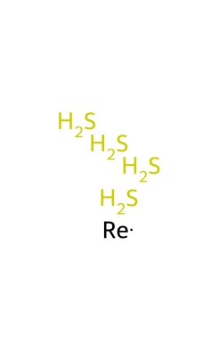 S.S.S.S.[Re]